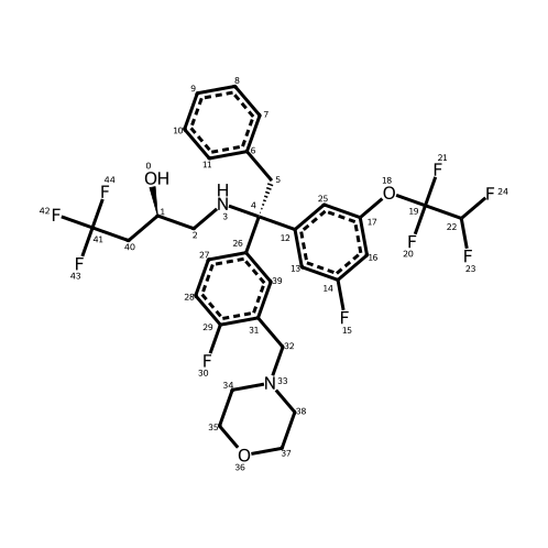 O[C@@H](CN[C@@](Cc1ccccc1)(c1cc(F)cc(OC(F)(F)C(F)F)c1)c1ccc(F)c(CN2CCOCC2)c1)CC(F)(F)F